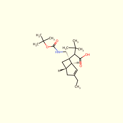 CCC1=C[C@H]2[C@H](C1)C[C@@]2(CNC(=O)OC(C)(C)C)C(C(=O)O)C(C)(C)C